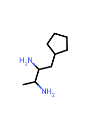 CC(N)C(N)CC1CCCC1